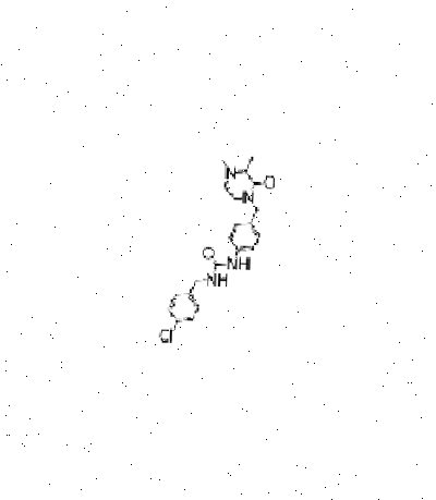 CC1C(=O)N(Cc2ccc(NC(=O)NCc3ccc(Cl)cc3)cc2)CCN1C